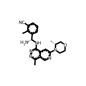 Cc1c(C#N)cccc1[C@@H](N)Nc1nnc(C)c2cnc(N3CCOC[C@H]3C)cc12